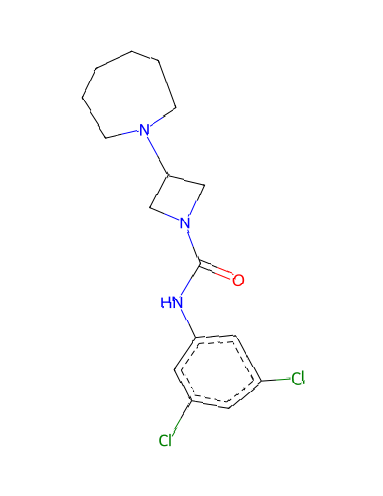 O=C(Nc1cc(Cl)cc(Cl)c1)N1CC(N2CCCCCC2)C1